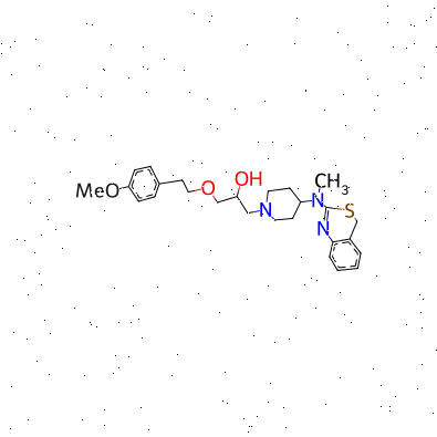 COc1ccc(CCOCC(O)CN2CCC(N(C)C3=Nc4ccccc4CS3)CC2)cc1